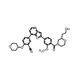 COc1cc(-c2cc3nccc(-c4ccc(OC5CCOCC5)c(C#N)c4)c3o2)ccc1C(=O)N1CCOC(CCO)C1